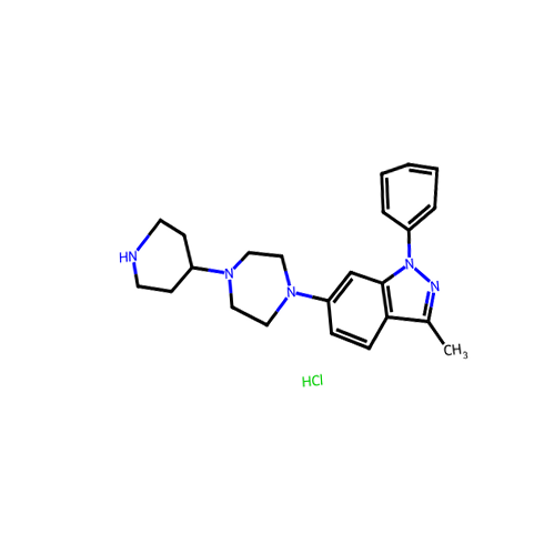 Cc1nn(-c2ccccc2)c2cc(N3CCN(C4CCNCC4)CC3)ccc12.Cl